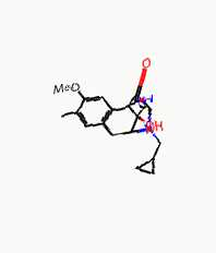 COc1cc2c(cc1C)CC1N(CC3CC3)CCC23CC(=O)NCCC13O